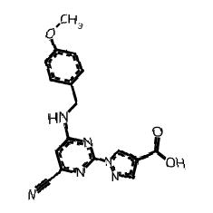 COc1ccc(CNc2cc(C#N)nc(-n3cc(C(=O)O)cn3)n2)cc1